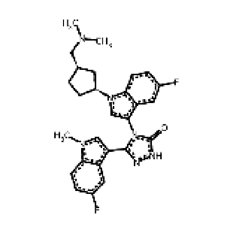 CN(C)C[C@@H]1CC[C@H](n2cc(-n3c(-c4cn(C)c5ccc(F)cc45)n[nH]c3=O)c3cc(F)ccc32)C1